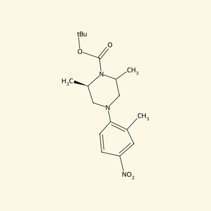 Cc1cc([N+](=O)[O-])ccc1N1CC(C)N(C(=O)OC(C)(C)C)[C@H](C)C1